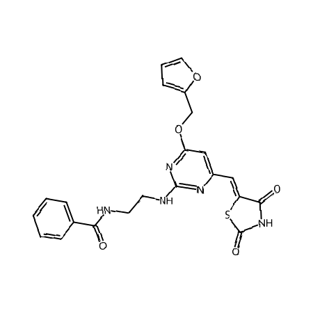 O=C1NC(=O)C(=Cc2cc(OCc3ccco3)nc(NCCNC(=O)c3ccccc3)n2)S1